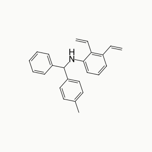 C=Cc1cccc(NC(c2ccccc2)c2ccc(C)cc2)c1C=C